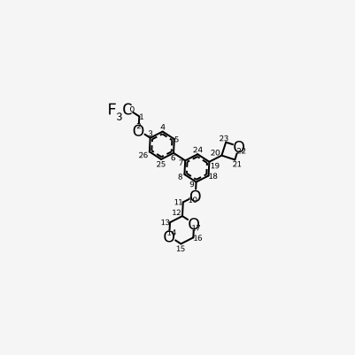 FC(F)(F)COc1ccc(-c2cc(OCC3COCCO3)cc(C3COC3)c2)cc1